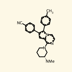 CN[C@@H]1CCCN(c2nccn3c(-c4ccc(C)cc4)c(-c4ccc(C#N)cc4)cc23)C1